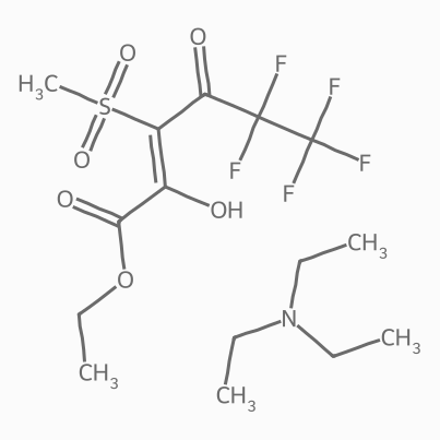 CCN(CC)CC.CCOC(=O)/C(O)=C(/C(=O)C(F)(F)C(F)(F)F)S(C)(=O)=O